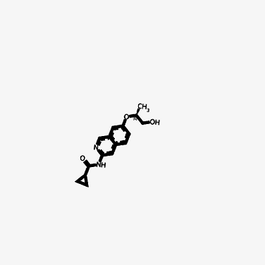 C[C@@H](CO)Oc1ccc2cc(NC(=O)C3CC3)ncc2c1